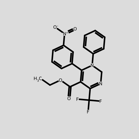 CCOC(=O)C1=C(c2cccc([N+](=O)[O-])c2)N(c2ccccc2)CN=C1C(F)(F)F